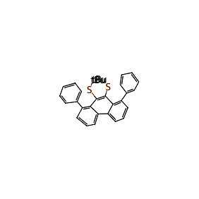 CC(C)(C)Sc1c(SC(C)(C)C)c2c(-c3ccccc3)cccc2c2cccc(-c3ccccc3)c12